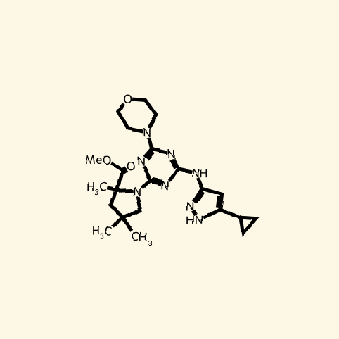 COC(=O)C1(C)CC(C)(C)CN1c1nc(Nc2cc(C3CC3)[nH]n2)nc(N2CCOCC2)n1